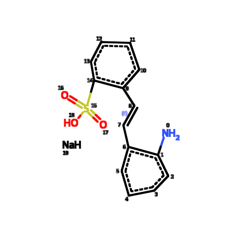 Nc1ccccc1/C=C/c1ccccc1S(=O)(=O)O.[NaH]